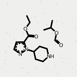 CC(C)OC=O.CCOC(=O)c1ccnn1C1CCNCC1